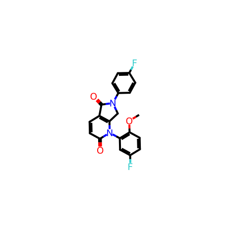 COc1ccc(F)cc1-n1c2c(ccc1=O)C(=O)N(c1ccc(F)cc1)C2